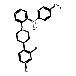 Cc1ccc([S@+]([O-])c2ccccc2N2CCC(c3ccc(Cl)cc3F)CC2)cc1